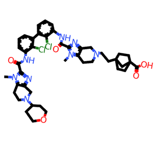 Cn1c(C(=O)Nc2cccc(-c3cccc(NC(=O)c4nc5c(n4C)CCN(C4CCOCC4)C5)c3Cl)c2Cl)nc2c1CCN(CCC13CCC(C(=O)O)(CC1)C3)C2